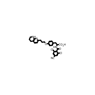 N#Cc1cc(Cl)c(C(=O)NC(Cc2ccc(OCCCc3ccc4c(n3)NCCC4)cc2)C(=O)O)c(Cl)c1